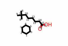 C1CCCCC1.CC(C)(C)CCCCCC(=O)O